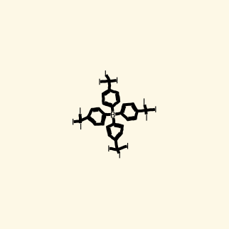 IC(I)(I)c1ccc([B-](c2ccc(C(I)(I)I)cc2)(c2ccc(C(I)(I)I)cc2)c2ccc(C(I)(I)I)cc2)cc1